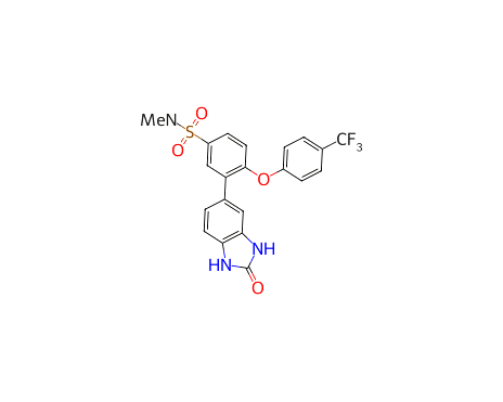 CNS(=O)(=O)c1ccc(Oc2ccc(C(F)(F)F)cc2)c(-c2ccc3[nH]c(=O)[nH]c3c2)c1